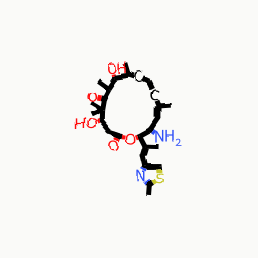 C/C1=C/C(N)C(/C(C)=C/c2csc(C)n2)OC(=O)CC(O)C(C)(C)C(=O)C(C)C(O)C(C)CCC1